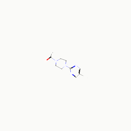 CCCC(=O)N1CCN(c2ncc(C(F)(F)F)cn2)CC1